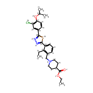 CCOC(=O)C1CCN(Cc2cccc(-c3nnc(-c4ccc(OC(C)C)c(Cl)c4)s3)c2CC)CC1